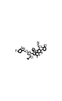 Cc1nc2c(F)c(-c3cccc(Cl)c3Cl)c(CCC#N)cc2c2c1cc(C1CC(OCc3nsc4cc(F)ccc34)CN1C(=O)C1CC1)n2C1C2CNC1C2